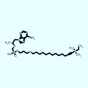 CCS(C)(C)C#CCCCCCCCCCCCOCCCOP(=O)(O)CO[C@H](C)Cn1cnc2c(N)ncnc21